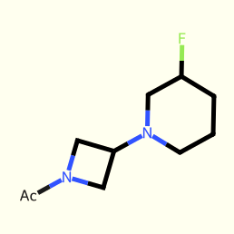 CC(=O)N1CC(N2CCCC(F)C2)C1